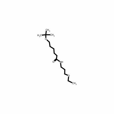 CCOCCCNC(=O)CCCCCOC(C)(C)C